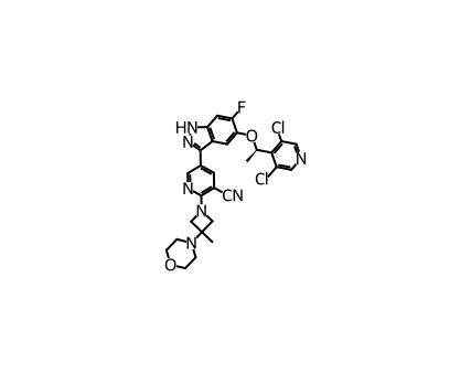 C[C@@H](Oc1cc2c(-c3cnc(N4CC(C)(N5CCOCC5)C4)c(C#N)c3)n[nH]c2cc1F)c1c(Cl)cncc1Cl